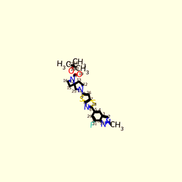 Cn1cc2cc(-c3nc4sc(N5CCC6(CCN6C(=O)OC(C)(C)C)C5)cc4s3)cc(F)c2n1